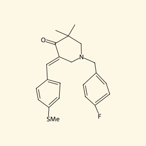 CSc1ccc(C=C2CN(Cc3ccc(F)cc3)CC(C)(C)C2=O)cc1